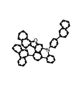 c1ccc(N(c2ccc(-c3ccc4ccccc4c3)cc2)c2ccc3c(c2)oc2c4ccccc4ccc32)c(-c2ccc(-c3cc4ccccc4c4ccccc34)cc2)c1